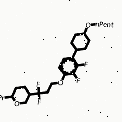 CCCCCOC1CCC(c2ccc(OCCC(F)(F)C3CCC(CCC)OC3)c(F)c2F)CC1